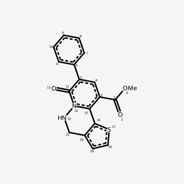 COC(=O)c1cc(-c2ccccc2)c(=O)n2c1-c1sccc1CN2